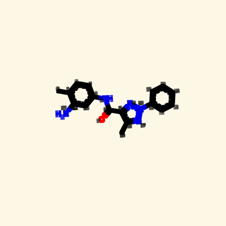 Cc1ccc(NC(=O)c2nn(-c3ccccc3)nc2C)cc1N